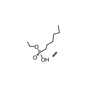 C=C.CCCCCCP(=O)(O)OCC